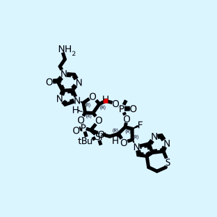 CC(C)(C)[Si](C)(C)C12OC[C@H]3O[C@@H](n4cc5c6c(ncnc64)SCCC5)[C@H](F)C3OP(C)(=O)OC[C@H]3O[C@@H](n4cnc5c(=O)n(CCN)cnc54)[C@H](OP1(C)=O)C3O2